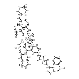 CC(C)c1ccccc1[C@@H]1CCCN1C1CC2(C1)CN(c1ccc(C(=O)NS(=O)(=O)c3cc4c(c([N+](=O)[O-])c3)N[C@@H](CN3CCN(C)CC3)CO4)c(N3c4cc5cc[nH]c5nc4O[C@@H]4COC[C@H]43)c1)C2